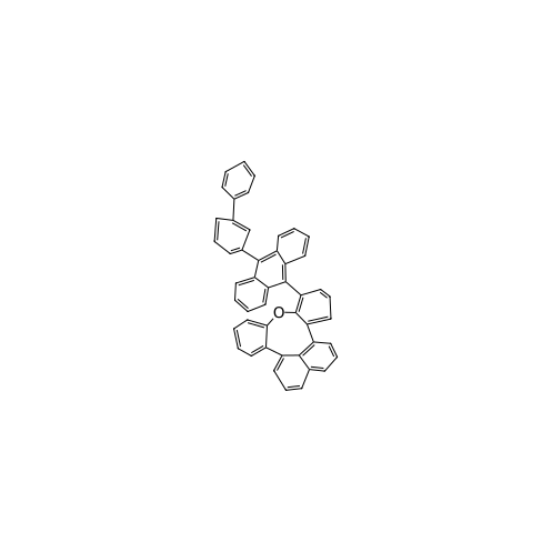 c1ccc(-c2cccc(-c3c4ccccc4c(-c4cccc5c4Oc4ccccc4-c4cccc6cccc-5c46)c4ccccc34)c2)cc1